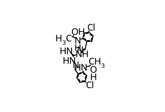 CC(O)Nc1cc(Cl)ccc1/C=N/NC(=N)N/N=C/c1ccc(Cl)cc1NC(C)O